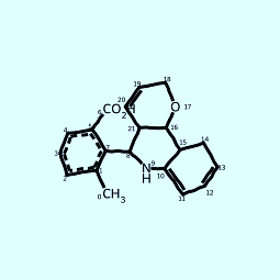 Cc1cccc(C(=O)O)c1C1NC2=CC=CCC2C2OCC=CC12